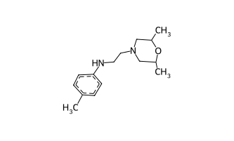 Cc1ccc(NCCN2CC(C)OC(C)C2)cc1